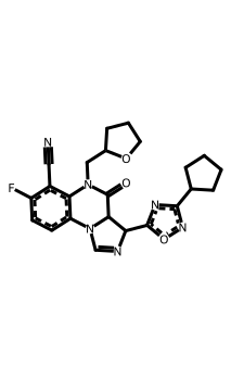 N#Cc1c(F)ccc2c1N(CC1CCCO1)C(=O)C1C(c3nc(C4CCCC4)no3)N=CN21